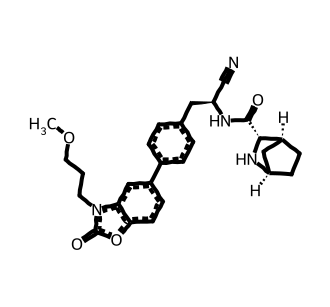 COCCCn1c(=O)oc2ccc(-c3ccc(C[C@@H](C#N)NC(=O)[C@H]4N[C@@H]5CC[C@H]4C5)cc3)cc21